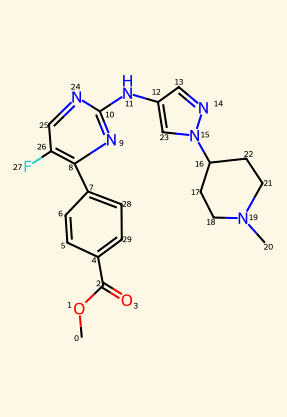 COC(=O)c1ccc(-c2nc(Nc3cnn(C4CCN(C)CC4)c3)ncc2F)cc1